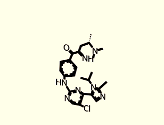 Cc1ncc(-c2nc(Nc3ccc(C(=O)C(=N)C[C@H](C)N(C)C)cc3)ncc2Cl)n1C(C)C